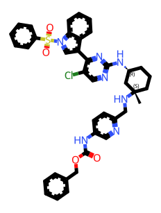 C[C@]1(NCc2ccc(NC(=O)OCc3ccccc3)cn2)CCC[C@@H](Nc2ncc(Cl)c(-c3cn(S(=O)(=O)c4ccccc4)c4ccccc34)n2)C1